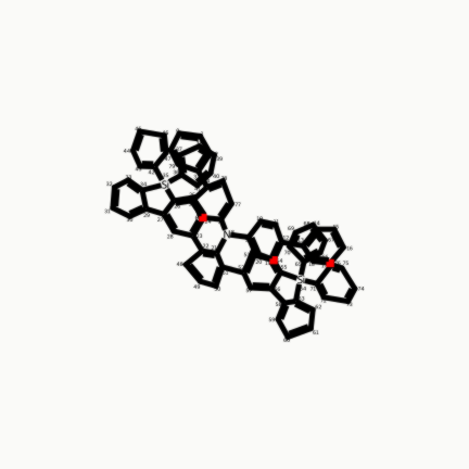 c1ccc(-c2ccc(N(c3ccc(-c4ccccc4)cc3)c3c(-c4ccc5c(c4)-c4ccccc4[Si]5(c4ccccc4)c4ccccc4)cccc3-c3ccc4c(c3)-c3ccccc3[Si]4(c3ccccc3)c3ccccc3)cc2)cc1